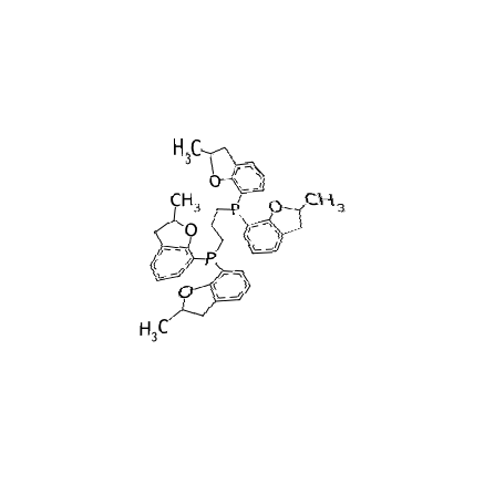 CC1Cc2cccc(P(CCCP(c3cccc4c3OC(C)C4)c3cccc4c3OC(C)C4)c3cccc4c3OC(C)C4)c2O1